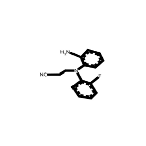 N#CCCN(c1ccccc1N)c1ccccc1F